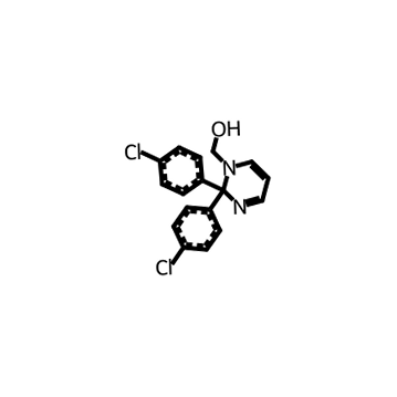 OCN1C=CC=NC1(c1ccc(Cl)cc1)c1ccc(Cl)cc1